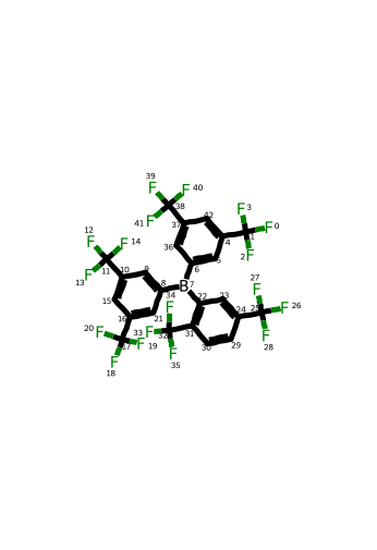 FC(F)(F)c1cc(B(c2cc(C(F)(F)F)cc(C(F)(F)F)c2)c2cc(C(F)(F)F)ccc2C(F)(F)F)cc(C(F)(F)F)c1